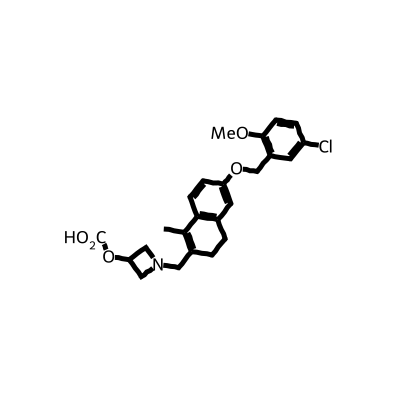 COc1ccc(Cl)cc1COc1ccc2c(c1)CCC(CN1CC(OC(=O)O)C1)=C2C